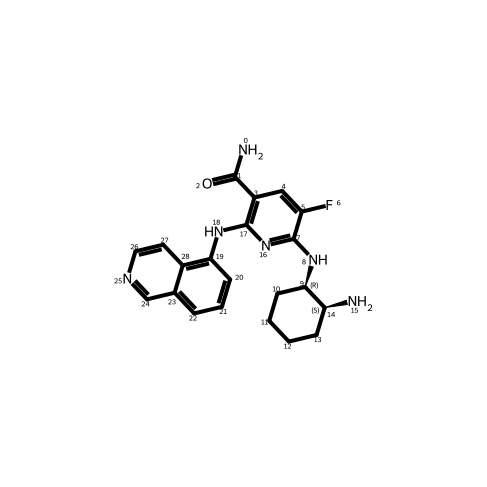 NC(=O)c1cc(F)c(N[C@@H]2CCCC[C@@H]2N)nc1Nc1cccc2cnccc12